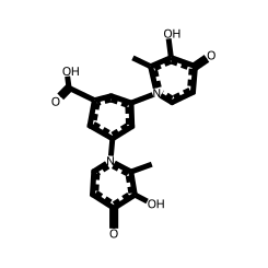 Cc1c(O)c(=O)ccn1-c1cc(C(=O)O)cc(-n2ccc(=O)c(O)c2C)c1